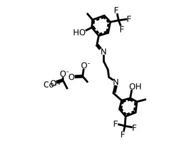 CC(=O)[O-].CC(=O)[O-].Cc1cc(C(F)(F)F)cc(C=NCCCN=Cc2cc(C(F)(F)F)cc(C)c2O)c1O.[Co+2]